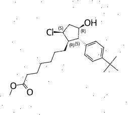 COC(=O)CCCCCC[C@@H]1[C@@H](c2ccc(C(C)(C)C)cc2)[C@H](O)C[C@@H]1Cl